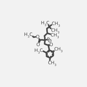 CCOC(=O)C(CC(=O)c1c(C)cc(C)cc1C)(CC(C)CC(C)(C)C)P=O